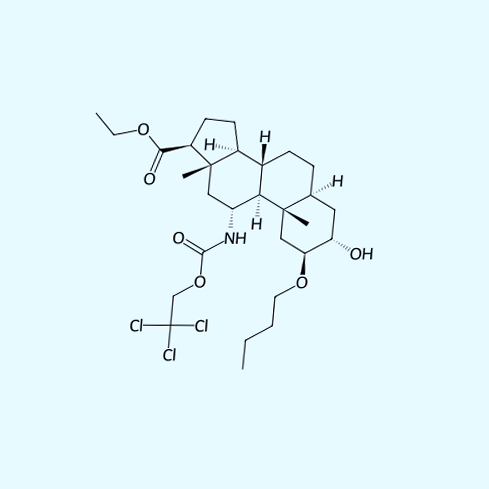 CCCCO[C@H]1C[C@@]2(C)[C@@H](CC[C@@H]3[C@@H]2[C@H](NC(=O)OCC(Cl)(Cl)Cl)C[C@]2(C)[C@@H](C(=O)OCC)CC[C@@H]32)C[C@@H]1O